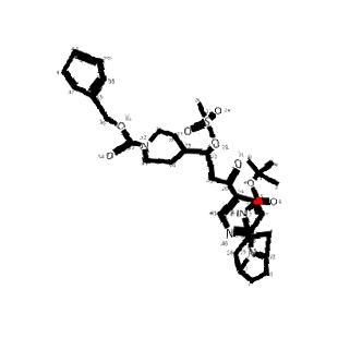 CC(C)(C)OC(=O)NC1CC2CCC(C1)N2c1ccc(C(=O)CC(OS(C)(=O)=O)C2CCN(C(=O)OCc3ccccc3)CC2)cn1